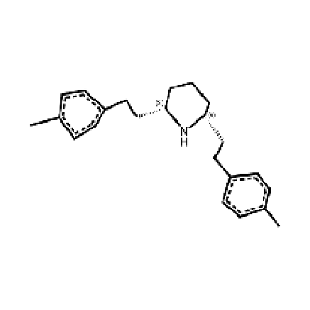 Cc1ccc(CC[C@H]2CCC[C@@H](CCc3ccc(C)cc3)N2)cc1